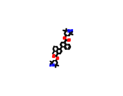 CC1CC=Cc2c(-c3ccc(C(=O)OC4CC(C)(C)NC(C)(C)C4)c4ccccc34)ccc(C(=O)OC3CC(C)(C)NC(C)(C)C3)c21